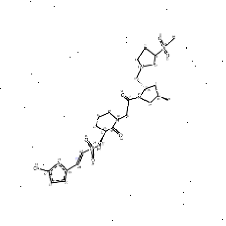 C[C@@H]1C[C@@H](CN2CCC(S(C)(=O)=O)C2)N(C(=O)CN2CCC[C@H](NS(=O)(=O)/C=C/c3ccc(Cl)s3)C2=O)C1